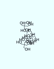 O=C(O)CS.O=C(O)CS.O=C(O)CS.O=C(O)CS.OCC(CO)(CO)CO.OCC(CO)(CO)CO